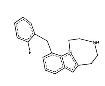 Fc1ccccc1Cc1cccc2cc3n(c12)CCNCC3